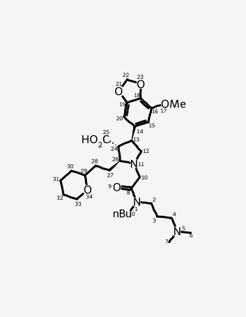 CCCCN(CCCN(C)C)C(=O)CN1C[C@H](c2cc(OC)c3c(c2)OCO3)[C@@H](C(=O)O)[C@@H]1CCC1CCCCO1